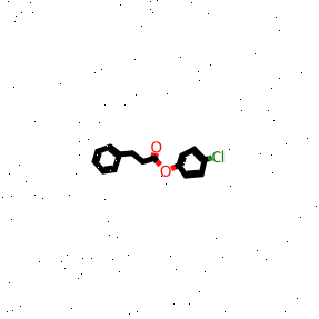 O=C(CCc1ccccc1)Oc1ccc(Cl)cc1